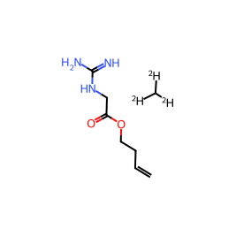 C=CCCOC(=O)CNC(=N)N.[2H]C([2H])[2H]